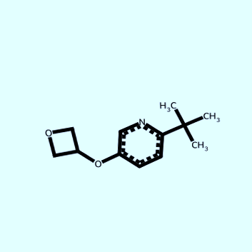 CC(C)(C)c1ccc(OC2COC2)cn1